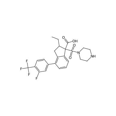 CCC1Cc2c(-c3ccc(C(F)(F)F)c(F)c3)cccc2C1(C(=O)O)S(=O)(=O)N1CCNCC1